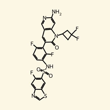 Nc1cc2c(cn1)cc(-c1c(F)ccc(NS(=O)(=O)c3cc4scnc4cc3F)c1F)c(=O)n2C1CC(F)(F)C1